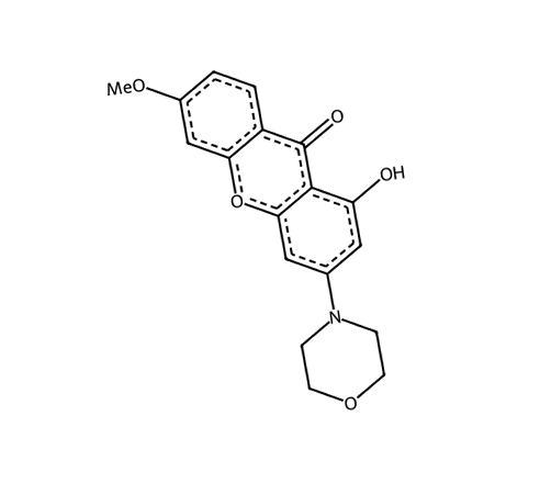 COc1ccc2c(=O)c3c(O)cc(N4CCOCC4)cc3oc2c1